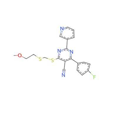 COCCSCSc1nc(-c2cccnc2)nc(-c2ccc(F)cc2)c1C#N